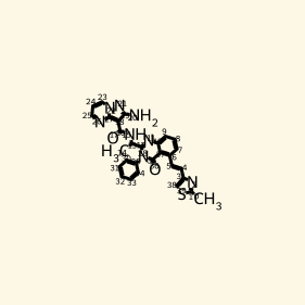 Cc1nc(/C=C/c2cccc3nc(C(C)NC(=O)c4c(N)nn5cccnc45)n(-c4ccccc4)c(=O)c23)cs1